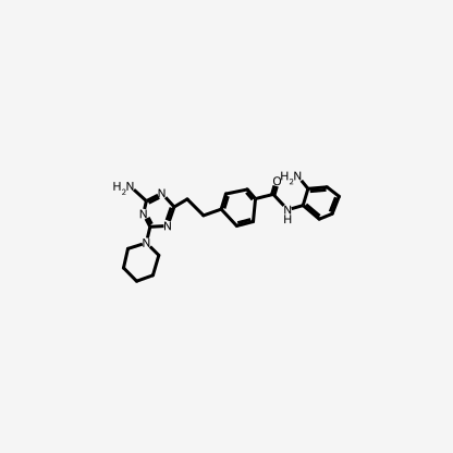 Nc1nc(CCc2ccc(C(=O)Nc3ccccc3N)cc2)nc(N2CCCCC2)n1